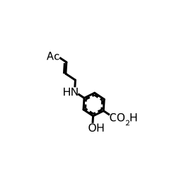 CC(=O)C=CCNc1ccc(C(=O)O)c(O)c1